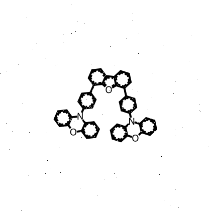 c1ccc2c(c1)Oc1ccccc1N2c1ccc(-c2cccc3c2oc2c(-c4ccc(N5c6ccccc6Oc6ccccc65)cc4)cccc23)cc1